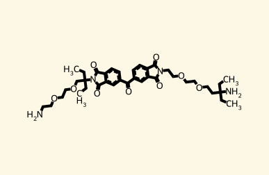 CCC(N)(CC)CCOCCOCCN1C(=O)c2ccc(C(=O)c3ccc4c(c3)C(=O)N(C(CC)(CC)COCCOCCN)C4=O)cc2C1=O